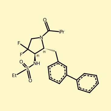 CCS(=O)(=O)N[C@@H]1[C@@H](Cc2cccc(-c3ccccc3)c2)N(C(=O)C(C)C)CC1(F)F